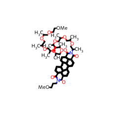 COCCCN1C(=O)c2ccc3c4ccc5c6c(ccc(c7ccc(c2c37)C1=O)c64)C(=O)N(C(C)COC(C)COC(C)COC(C)COC(C)COC(C)COC(C)COC(C)COC(C)COCCOC)C5=O